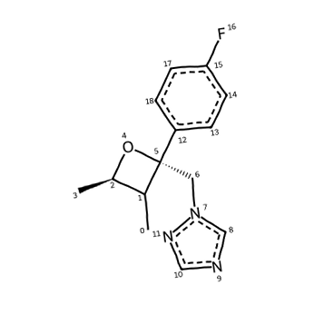 CC1[C@@H](C)O[C@@]1(Cn1cncn1)c1ccc(F)cc1